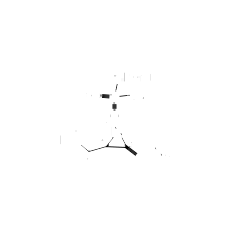 CCCCCS(=O)(=O)[O-].O=C1NC1CO.[Na+]